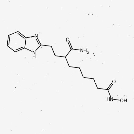 NC(=O)C(CCCCCC(=O)NO)CCc1nc2ccccc2[nH]1